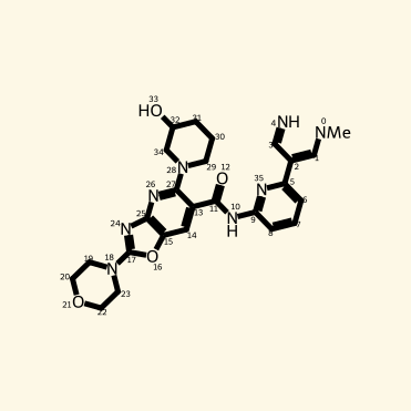 CN/C=C(\C=N)c1cccc(NC(=O)c2cc3oc(N4CCOCC4)nc3nc2N2CCCC(O)C2)n1